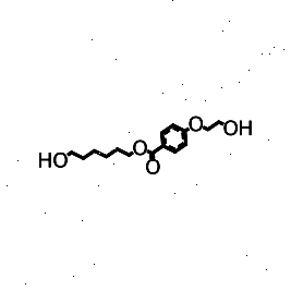 O=C(OCCCCCCO)c1ccc(OCCO)cc1